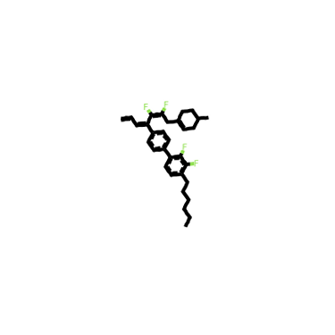 C=C/C=C(\C(F)=C(\F)CC1=CCC(C)CC1)c1ccc(-c2ccc(CCCCCC)c(F)c2F)cc1